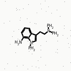 Nc1cccc2c(CCN(P)P)cn(P)c12